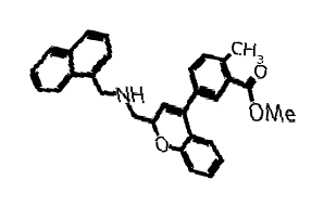 COC(=O)c1cc(C2=CC(CNCc3cccc4ccccc34)Oc3ccccc32)ccc1C